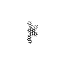 c1ccc(-c2nc(-c3ccccc3)nc(-c3cccc(-c4cc(-c5ccc6sc7ccccc7c6c5)cc5c6ccccc6c6ccccc6c45)c3)n2)cc1